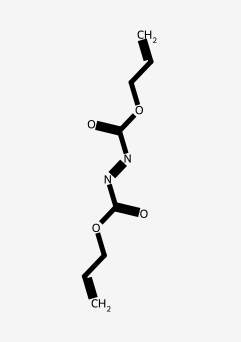 C=CCOC(=O)N=NC(=O)OCC=C